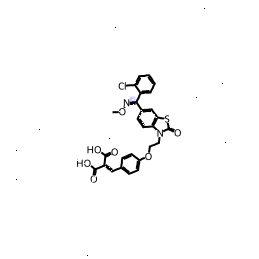 CO/N=C(\c1ccc2c(c1)sc(=O)n2CCOc1ccc(C=C(C(=O)O)C(=O)O)cc1)c1ccccc1Cl